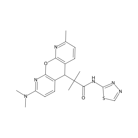 Cc1ccc2c(n1)Oc1nc(N(C)C)ccc1C2C(C)(C)C(=O)Nc1nncs1